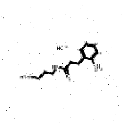 CCCCCCCCCCCCNC(=O)CCc1ccccc1N.Cl